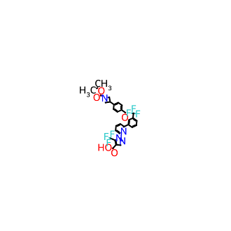 CC(C)OC(=O)N1CC(c2ccc(COc3c(-c4cccc(-n5ncc(C(=O)O)c5C(F)(F)F)n4)cccc3C(F)(F)F)cc2)C1